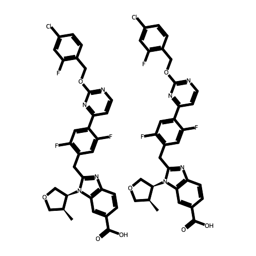 C[C@H]1COC[C@H]1n1c(Cc2cc(F)c(-c3ccnc(OCc4ccc(Cl)cc4F)n3)cc2F)nc2ccc(C(=O)O)cc21.C[C@H]1COC[C@H]1n1c(Cc2cc(F)c(-c3ccnc(OCc4ccc(Cl)cc4F)n3)cc2F)nc2ccc(C(=O)O)cc21